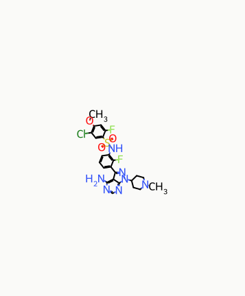 COc1cc(F)c(S(=O)(=O)Nc2cccc(-c3nn(C4CCN(C)CC4)c4ncnc(N)c34)c2F)cc1Cl